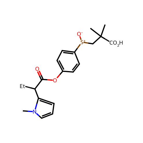 CCC(C(=O)Oc1ccc([S+]([O-])CC(C)(C)C(=O)O)cc1)c1cccn1C